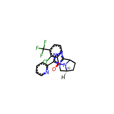 O=C(c1cccc(C(F)(F)F)c1Cl)N1C2CC[C@H]1Cn1c(-c3ccccn3)nnc12